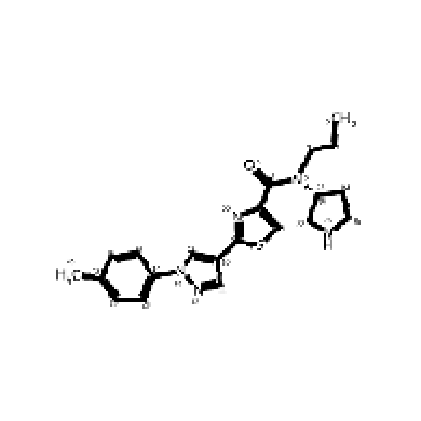 CCCN(C(=O)c1csc(-c2cnn(-c3ccc(C)cc3)c2)n1)[C@@H]1CCNC1